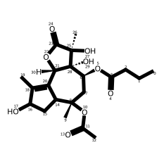 CCCC(=O)O[C@H]1C[C@](C)(OC(C)=O)C2CC(O)C(C)=C2[C@@H]2OC(=O)[C@@](C)(O)[C@@]12O